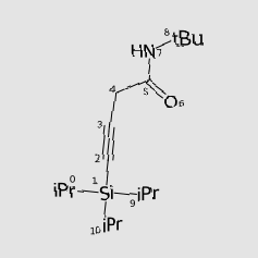 CC(C)[Si](C#CCC(=O)NC(C)(C)C)(C(C)C)C(C)C